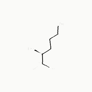 CCCCCCC[C@H](O)[C@@H](C)O